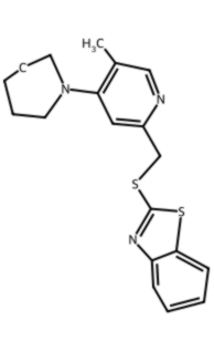 Cc1cnc(CSc2nc3ccccc3s2)cc1N1CCCCC1